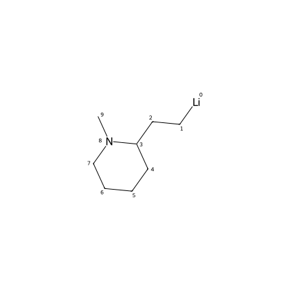 [Li][CH2]CC1CCCCN1C